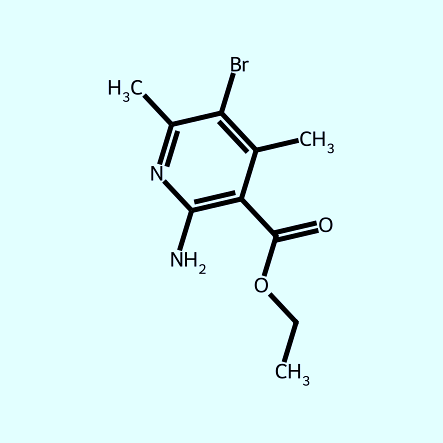 CCOC(=O)c1c(N)nc(C)c(Br)c1C